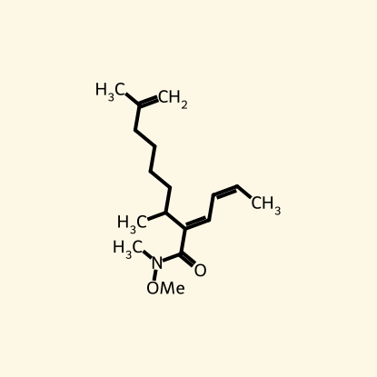 C=C(C)CCCCC(C)/C(=C\C=C/C)C(=O)N(C)OC